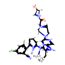 CCc1nc2cnc(N3CCN(CC(=O)N4CC(O)C4)CC3)cn2c1N(C)c1cccc(-c2ccc(F)cc2C#N)n1